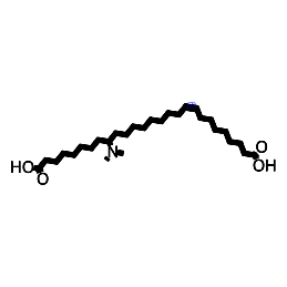 CN(C)C(CCCCCCCC/C=C\CCCCCCCC(=O)O)CCCCCCCC(=O)O